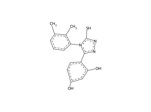 Cc1cccc(-n2c(S)nnc2-c2ccc(O)cc2O)c1C